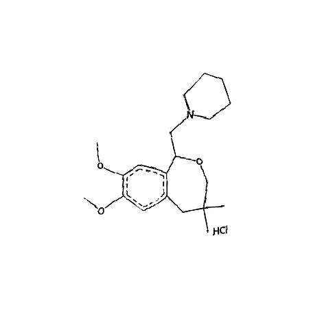 COc1cc2c(cc1OC)C(CN1CCCCC1)OCC(C)(C)C2.Cl